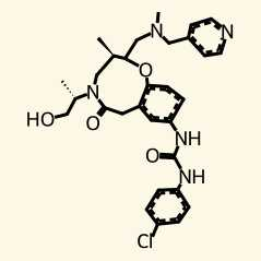 C[C@@H]1CN([C@@H](C)CO)C(=O)Cc2cc(NC(=O)Nc3ccc(Cl)cc3)ccc2OC1CN(C)Cc1ccncc1